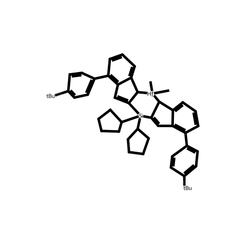 CC(C)(C)c1ccc(-c2cccc3c2C=C2[CH]3[Hf]([CH3])([CH3])[CH]3C(=Cc4c(-c5ccc(C(C)(C)C)cc5)cccc43)[Si]2(C2CCCC2)C2CCCC2)cc1